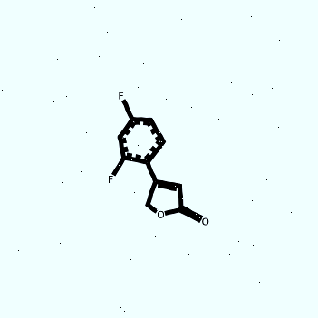 O=C1C=C(c2ccc(F)cc2F)CO1